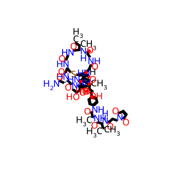 CC[C@H](C)[C@@H]1NC(=O)CNC(=O)[C@@H]2Cc3c([nH]c4cc(OCc5ccc(NC(=O)[C@H](C)NC(=O)[C@@H](NC(=O)CCN6C(=O)C=CC6=O)C(C)C)cc5)ccc34)SCC(NC(=O)CNC1=O)C(=O)N[C@@H](CC(N)=O)C(=O)N1C[C@H](O)CC1(C=O)N[C@@H]([C@@H](C)[C@@H](O)CO)C(=O)N2